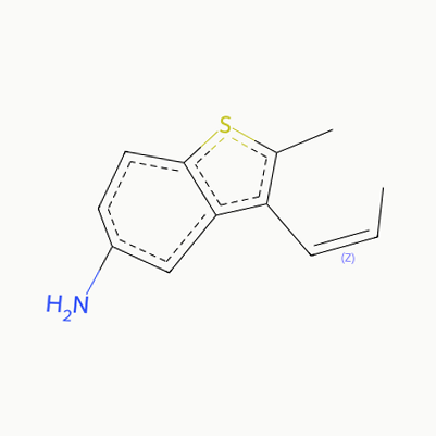 C/C=C\c1c(C)sc2ccc(N)cc12